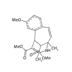 COC(=O)C1=C(C)NC2(C)C=Cc3ccc(OC)cc3C1C2C(=O)OC